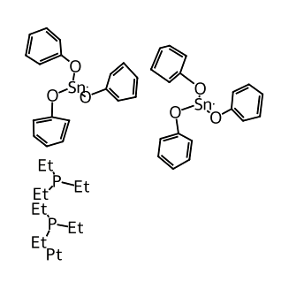 CCP(CC)CC.CCP(CC)CC.[Pt].c1ccc([O][Sn]([O]c2ccccc2)[O]c2ccccc2)cc1.c1ccc([O][Sn]([O]c2ccccc2)[O]c2ccccc2)cc1